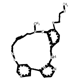 COCCOc1ccc2cc1CN(C)C/C=C/COCc1cncc(c1)-c1ccnc(n1)N2